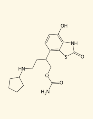 NC(=O)OCC(CCNC1CCCC1)c1ccc(O)c2[nH]c(=O)sc12